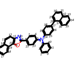 c1ccc(N(c2ccc(-c3nc4ccc5ccccc5c4o3)cc2)c2ccc(-c3cccc4ccccc34)cc2)cc1